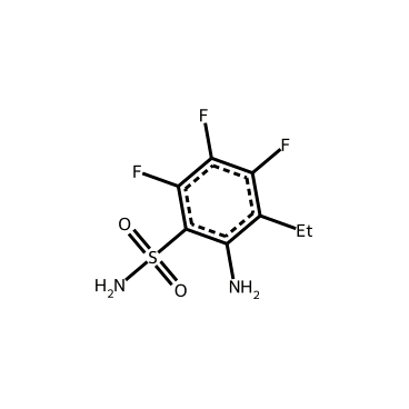 CCc1c(N)c(S(N)(=O)=O)c(F)c(F)c1F